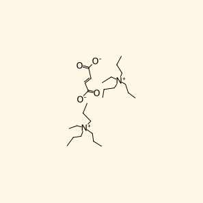 CCC[N+](CC)(CCC)CCC.CCC[N+](CC)(CCC)CCC.O=C([O-])/C=C/C(=O)[O-]